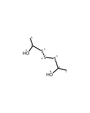 CC(O)SSSC(C)O